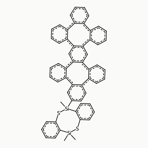 C[Si]1(C)Sc2ccccc2[Si](C)(c2ccc3c4ccccc4c4cc5c6ccccc6c6ccccc6c6ccccc6c5cc4c4ccccc4c3c2)Sc2ccccc21